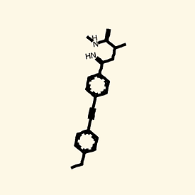 C=C(NC)C(C)CC(=N)c1ccc(C#Cc2ccc(CC)cc2)cc1